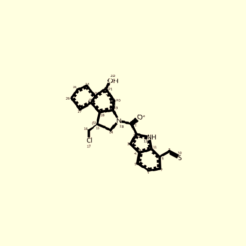 O=C(c1cc2cccc(C=S)c2[nH]1)N1C[C@@H](CCl)c2c1cc(O)c1ccccc21